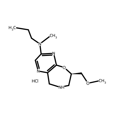 CCCN(C)c1cnc2c(n1)O[C@@H](COC)CNC2.Cl